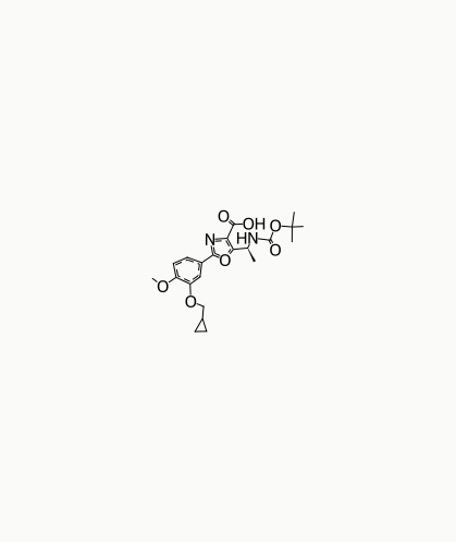 COc1ccc(-c2nc(C(=O)O)c([C@H](C)NC(=O)OC(C)(C)C)o2)cc1OCC1CC1